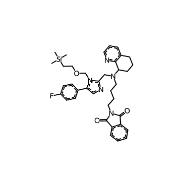 C[Si](C)(C)CCOCn1c(-c2ccc(F)cc2)cnc1CN(CCCCN1C(=O)c2ccccc2C1=O)C1CCCc2cccnc21